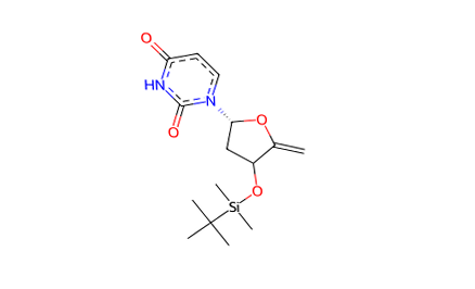 C=C1O[C@@H](n2ccc(=O)[nH]c2=O)CC1O[Si](C)(C)C(C)(C)C